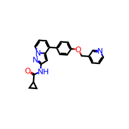 O=C(Nc1cc2c(-c3ccc(OCc4cccnc4)cc3)cccn2n1)C1CC1